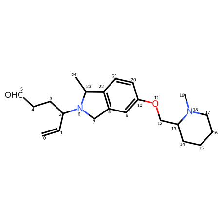 C=CC(CCC=O)N1Cc2cc(OCC3CCCCN3C)ccc2C1C